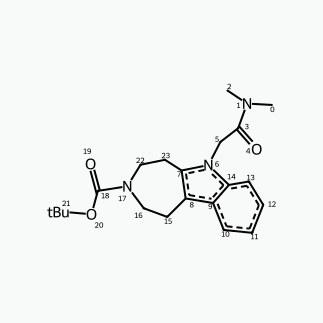 CN(C)C(=O)Cn1c2c(c3ccccc31)CCN(C(=O)OC(C)(C)C)CC2